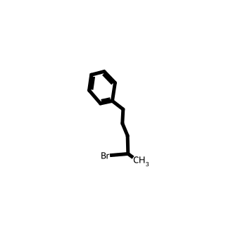 CC(Br)CCCc1ccccc1